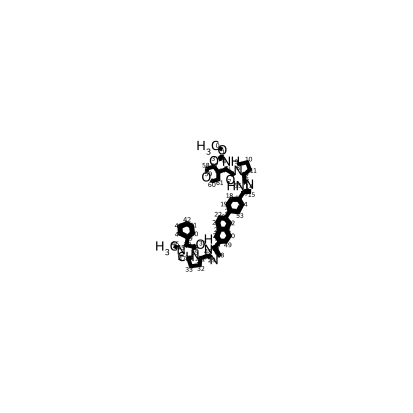 COC(=O)N[C@H](C(=O)N1CCCC1c1ncc(-c2ccc(-c3ccc4cc(-c5cnc(C6CCCN6C(=O)C(c6ccccc6)N(C)C)[nH]5)ccc4c3)cc2)[nH]1)C1CCOCC1